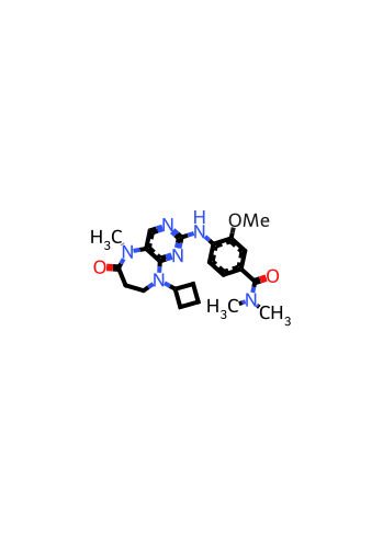 COc1cc(C(=O)N(C)C)ccc1Nc1ncc2c(n1)N(C1CCC1)CCC(=O)N2C